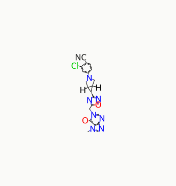 Cn1cnc2ncn(Cc3nc([C@H]4[C@@H]5CN(c6ccc(C#N)c(Cl)c6)C[C@@H]54)no3)c(=O)c21